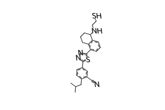 CC(C)Cc1ccc(-c2nnc(-c3cccc4c3CCCC4NCCS)s2)cc1C#N